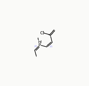 C=C(Cl)/C=C\[PH](C)=C/C